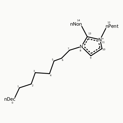 CCCCCCCCCCCCCCCCCn1cc[n+](CCCCC)c1CCCCCCCCC